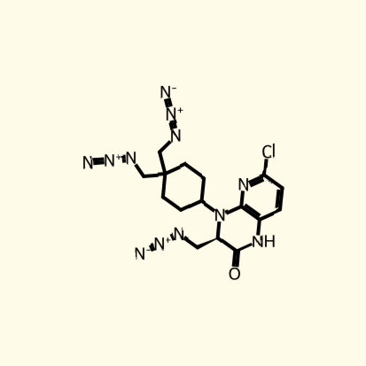 [N-]=[N+]=NC[C@@H]1C(=O)Nc2ccc(Cl)nc2N1C1CCC(CN=[N+]=[N-])(CN=[N+]=[N-])CC1